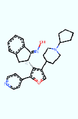 ON=C1c2ccccc2C[C@H]1c1c(C2CCN(C3CCCC3)CC2)coc1-c1ccncc1